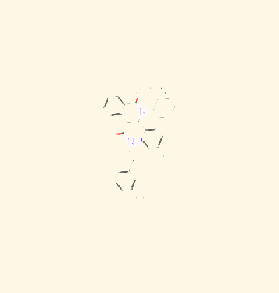 CC(=O)N[C@H]1CCCC[C@@H]1N1C(=O)c2ccccc2[C@@H](C(=O)NOCc2cccc(C(=O)O)c2)[C@@H]1c1ccc(Cl)cc1Cl